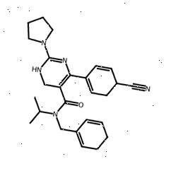 CC(C)N(CC1=CCCC=C1)C(=O)C1=C(C2=CCC(C#N)C=C2)N=C(N2CCCC2)NC1